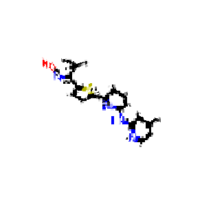 Cc1ccnc(Nc2cccc(-c3ccc(C(=NO)C(C)C)s3)n2)c1